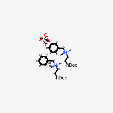 CCCCCCCCCCCC[N+](C)(C)Cc1ccccc1.CCCCCCCCCCCC[N+](C)(C)Cc1ccccc1.[O]=[Mo](=[O])([O-])[O-]